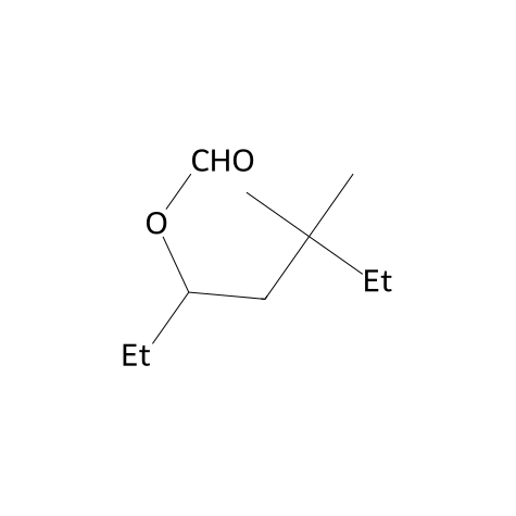 CCC(CC(C)(C)CC)OC=O